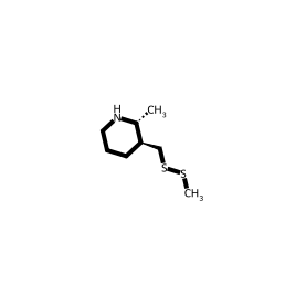 CSSC[C@H]1CCCN[C@@H]1C